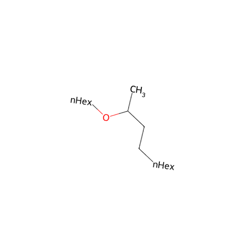 CCCCCCCCC(C)OCCCCCC